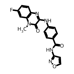 Cn1c(=O)c(Nc2ccc(C(=O)Nc3ccon3)cc2)nc2ccc(F)cc21